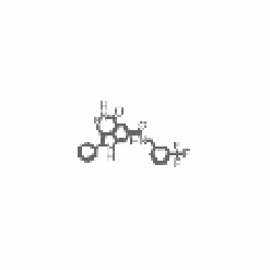 O=C(NCc1cccc(C(F)(F)F)c1)c1cc2c3c(c(-c4ccccc4)[nH]c3c1)C=NNC2=O